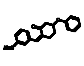 COc1cccc(/C=C2/CCC(Oc3ccccc3)CC2=O)c1